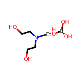 CCN(CCO)CCO.OB(O)O